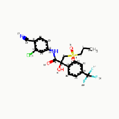 CCCS(=O)(=O)CC(O)(C(=O)Nc1ccc(C#N)c(Cl)c1)c1ccc(C(F)(F)F)cc1